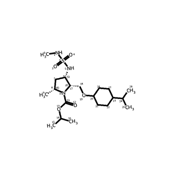 CNS(=O)(=O)N[C@H]1C[C@@H](C)N(C(=O)OC(C)C)[C@H]1COC1CCC(C(C)C)CC1